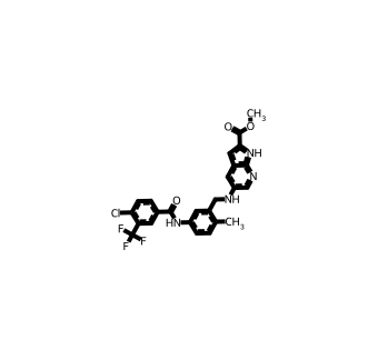 COC(=O)c1cc2cc(NCc3cc(NC(=O)c4ccc(Cl)c(C(F)(F)F)c4)ccc3C)cnc2[nH]1